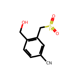 N#Cc1ccc(CO)c(C[SH](=O)=O)c1